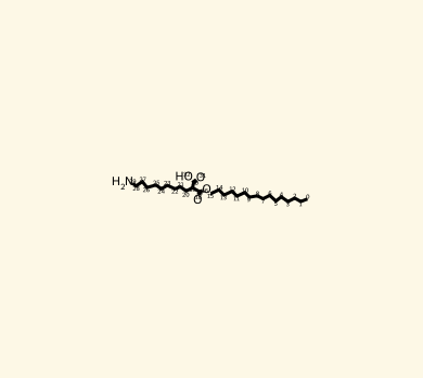 CCCCCCCCCCCCCCCCOC(=O)C(CCCCCCCCCN)C(=O)O